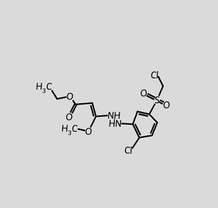 CCOC(=O)C=C(NNc1cc(S(=O)(=O)CCl)ccc1Cl)OC